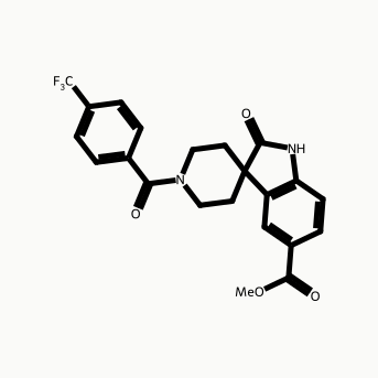 COC(=O)c1ccc2c(c1)C1(CCN(C(=O)c3ccc(C(F)(F)F)cc3)CC1)C(=O)N2